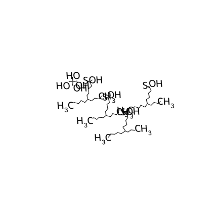 CCCCCC(CCCC)CCCCC(O)=S.CCCCCC(CCCC)CCCCC(O)=S.CCCCCC(CCCC)CCCCC(O)=S.CCCCCC(CCCC)CCCCC(O)=S.OCC(CO)(CO)CO